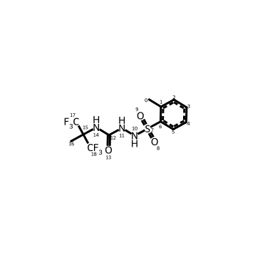 Cc1ccccc1S(=O)(=O)NNC(=O)NC(C)(C(F)(F)F)C(F)(F)F